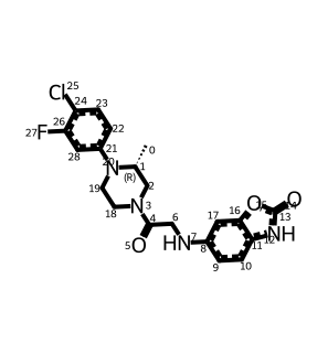 C[C@@H]1CN(C(=O)CNc2ccc3[nH]c(=O)oc3c2)CCN1c1ccc(Cl)c(F)c1